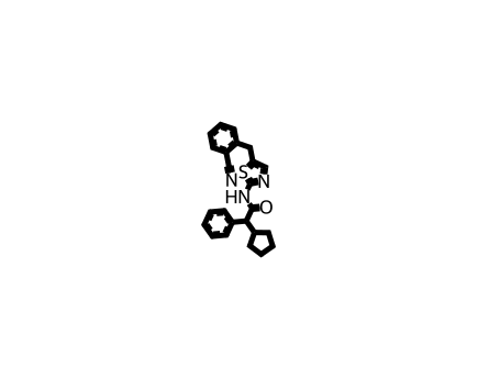 N#Cc1ccccc1Cc1cnc(NC(=O)C(c2ccccc2)C2CCCC2)s1